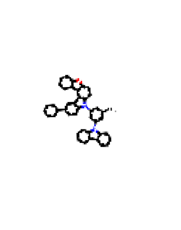 Cc1cc(-n2c3ccccc3c3ccccc32)cc(-n2c3ccc(-c4ccccc4)cc3c3c4c(ccc32)oc2ccccc24)c1